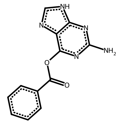 Nc1nc(OC(=O)c2ccccc2)c2nc[nH]c2n1